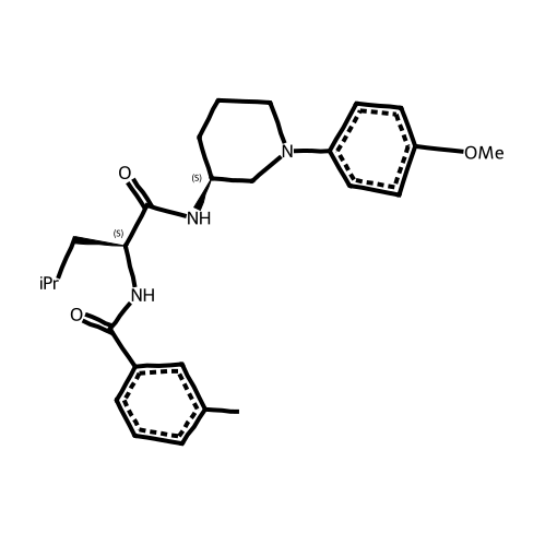 COc1ccc(N2CCC[C@H](NC(=O)[C@H](CC(C)C)NC(=O)c3cccc(C)c3)C2)cc1